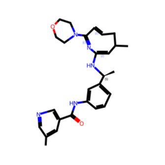 Cc1cncc(C(=O)Nc2cccc([C@H](C)NC3=C/C(C)C/C=C/C(N4CCOCC4)=N\3)c2)c1